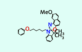 COc1ccc2ccc3c(c2c1)N=CC1(O3)N(CCCCCCOc2ccccc2)c2ccccc2C1(C)C